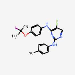 CC(I)(C#N)Oc1ccc(Nc2nc(Nc3ccc(C#N)cc3)ncc2F)cc1